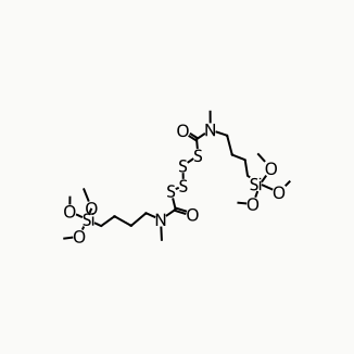 CO[Si](CCCCN(C)C(=O)SSSSC(=O)N(C)CCCC[Si](OC)(OC)OC)(OC)OC